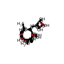 CCCCCC(=O)N[C@H]1CSCc2cc(CSCCNC(=O)CN3CCN(CC(=O)O)CCN(CC(=O)O)CCN(CC(=O)O)CC3)cc(c2)CSC[C@@H](C(=O)N[C@@H](CO)C(=O)O)NC(=O)[C@H](Cc2ccccc2)NC(=O)[C@H](CCC(N)=O)NC(=O)[C@H]([C@@H](C)O)NC(=O)[C@@H]2CCCN2C(=O)[C@@H]2CCCN2C1=O